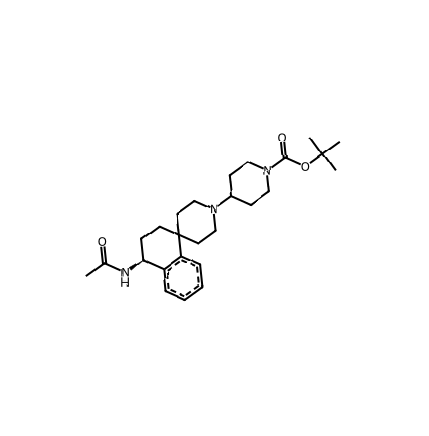 CC(=O)N[C@H]1CCC2(CCN(C3CCN(C(=O)OC(C)(C)C)CC3)CC2)c2ccccc21